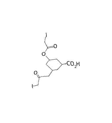 O=C(CI)CC1CC(OC(=O)CI)CC(C(=O)O)C1